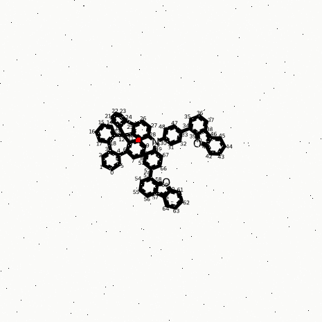 c1ccc2c(c1)-c1ccccc1C1(c3ccccc3-2)c2ccccc2-c2ccc(N(c3ccc(-c4cccc5c4oc4ccccc45)cc3)c3ccc(-c4cccc5c4oc4ccccc45)cc3)cc21